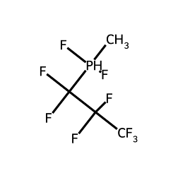 C[PH](F)(F)C(F)(F)C(F)(F)C(F)(F)F